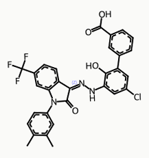 Cc1ccc(N2C(=O)/C(=N\Nc3cc(Cl)cc(-c4cccc(C(=O)O)c4)c3O)c3ccc(C(F)(F)F)cc32)cc1C